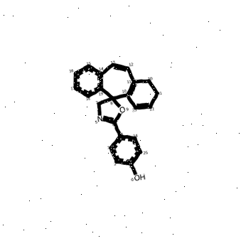 Oc1ccc(C2=NCC3(O2)C2=C(C=Cc4ccccc43)CCC=C2)cc1